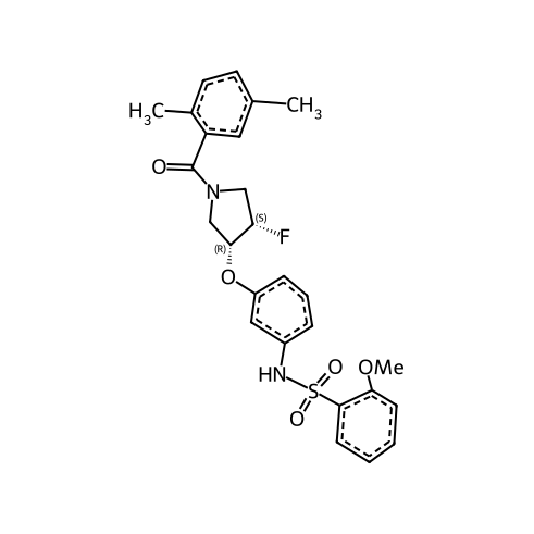 COc1ccccc1S(=O)(=O)Nc1cccc(O[C@@H]2CN(C(=O)c3cc(C)ccc3C)C[C@@H]2F)c1